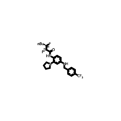 CCCC[C@@H](F)[C@@H](F)C(=O)Nc1ccc(NCc2ccc(C(F)(F)F)cc2)cc1N1CCCC1